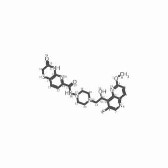 COc1ccc2ncc(F)c([C@H](O)CN3CCN(NC(=O)c4ccc5c(n4)NC(=O)CS5)CC3)c2n1